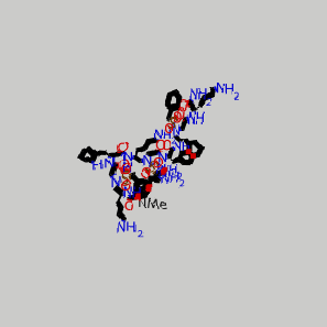 CN[C@@H](CCCCN)C(=O)N[C@@H](CCCCN)CN(CC(=O)N[C@@H](Cc1ccccc1)C(=O)N[C@@H](CCCCN)CN(CC(=O)N[C@@H](Cc1ccccc1)C(=O)N[C@@H](Cc1ccccc1)CN(CC(=O)N[C@@H](CCCCN)C(N)=O)S(=O)(=O)Cc1ccccc1)S(=O)(=O)CCN)S(=O)(=O)Cc1ccccc1